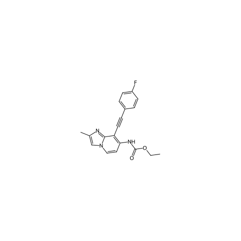 CCOC(=O)Nc1ccn2cc(C)nc2c1C#Cc1ccc(F)cc1